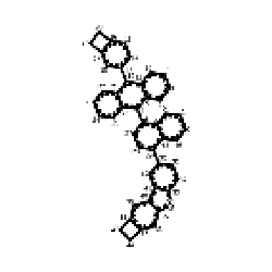 c1ccc2c(-c3c4ccccc4c(-c4ccc5c(c4)CC5)c4ccccc34)ccc(-c3ccc4sc5cc6c(cc5c4c3)CC6)c2c1